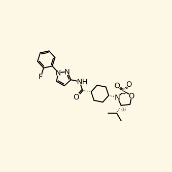 CC(C)[C@H]1COS(=O)(=O)N1[C@H]1CC[C@@H](C(=O)Nc2ccn(-c3ccccc3F)n2)CC1